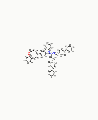 c1ccc(-c2ccc(-c3cc(-c4ccc(-c5ccccc5)cc4)nc(-n4c5ccccc5c5cc(-c6cccoc7ccccc7cc6)ccc54)c3)cc2)cc1